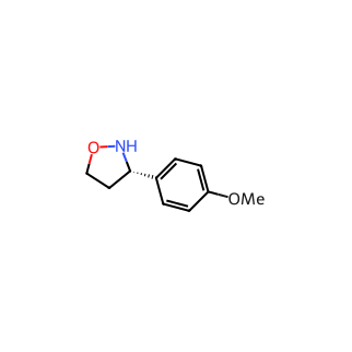 COc1ccc([C@@H]2CCON2)cc1